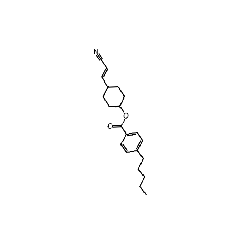 CCCCCc1ccc(C(=O)OC2CCC(/C=C/C#N)CC2)cc1